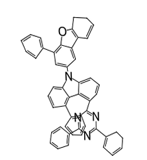 C1=CCCC(c2nc(-c3ccccc3)nc(-c3cccc4c3c3c(-c5ccccc5)cccc3n4-c3cc(-c4ccccc4)c4oc5c(c4c3)C=CCC5)n2)=C1